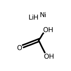 O=C(O)O.[LiH].[Ni]